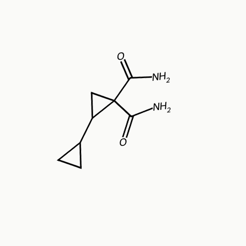 NC(=O)C1(C(N)=O)CC1C1CC1